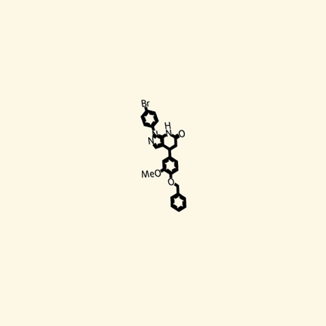 COc1cc(C2CC(=O)Nc3c2cnn3-c2ccc(Br)cc2)ccc1OCc1ccccc1